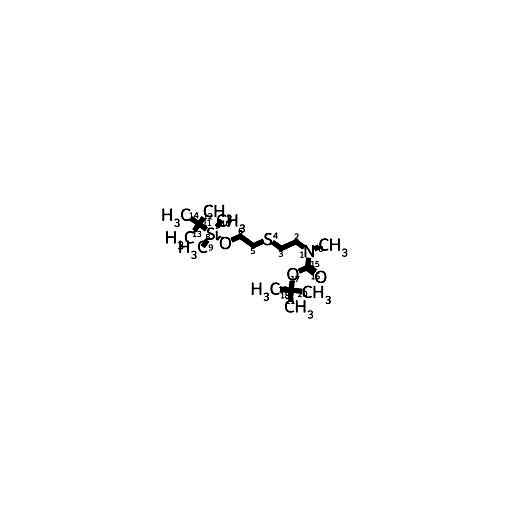 CN(CCSCCO[Si](C)(C)C(C)(C)C)C(=O)OC(C)(C)C